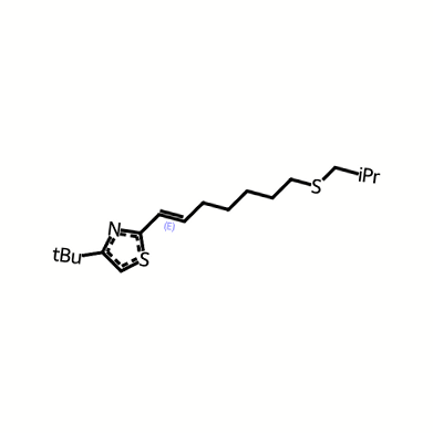 CC(C)CSCCCCC/C=C/c1nc(C(C)(C)C)cs1